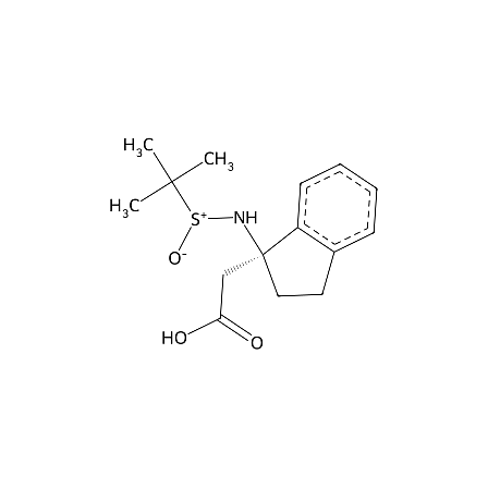 CC(C)(C)[S+]([O-])N[C@]1(CC(=O)O)CCc2ccccc21